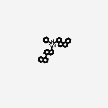 c1ccc(-c2nc(-c3cccc4c(-c5cccc6ccccc56)cccc34)nc(-c3cccc4c3ccc3ccc5ccccc5c34)n2)cc1